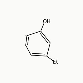 CCc1cc[c]c(O)c1